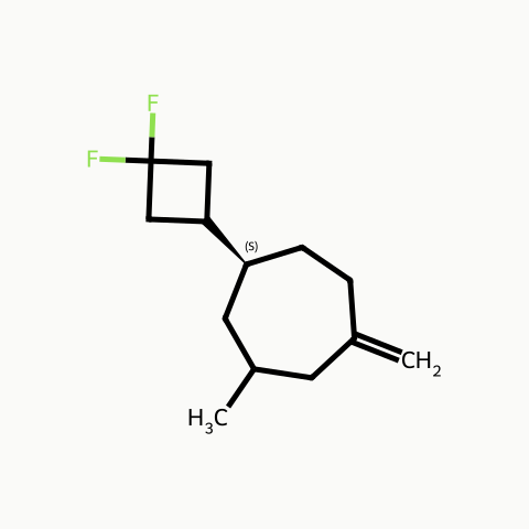 C=C1CC[C@H](C2CC(F)(F)C2)CC(C)C1